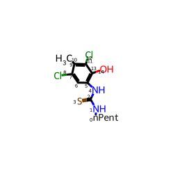 CCCCCNC(=S)Nc1cc(Cl)c(C)c(Cl)c1O